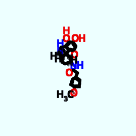 COc1ccc(CC(=O)N[C@@H]2CC[C@H]3[C@H]4Cc5c(O)c(O)cc6c5[C@@]3(CCN4)[C@H]2O6)cc1